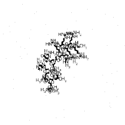 CCNC(CCCNC(=N)N)C(=O)NC(CCCNC(=N)N)C(=O)NC(CCCNC(=N)N)C(=O)NC(CCCNC(=N)N)C(=O)NC(CCCNC(=N)N)C(=O)NC(CCCNC(=N)N)C(=O)NCC(=O)N1CC(COP(=O)(N(C)C)N2CC(COP(=O)(N(C)C)N3CC(COP(C)(=O)N(C)C)OC(n4cc(C)c(=O)[nH]c4=O)C3)OC(n3cnc4c(N)ncnc43)C2)OC(n2cnc3c(=O)[nH]c(N)nc32)C1